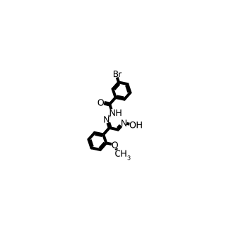 COc1ccccc1C(C=NO)=NNC(=O)c1cccc(Br)c1